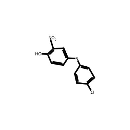 O=[N+]([O-])c1cc(Sc2ccc(Cl)cc2)ccc1O